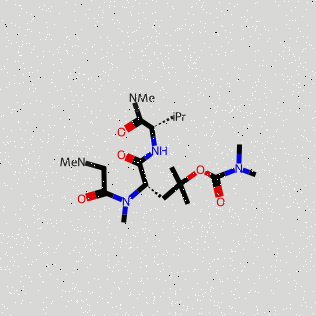 CNCC(=O)N(C)[C@@H](CC(C)(C)OC(=O)N(C)C)C(=O)N[C@H](C(=O)NC)C(C)C